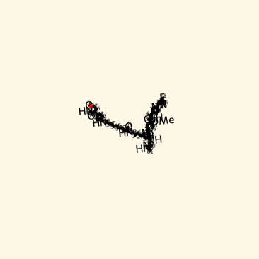 COC1(C(=O)N[C@@H](C)c2ccc(-n3cc(F)cn3)nc2)CCN(c2nc(CCCCNC(=O)CCCCCCCCNc3ccc(C4CCC(=O)NC4=O)cc3)cc(Nc3cc(C)[nH]n3)n2)CC1